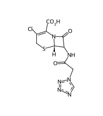 O=C(Cn1cnnn1)NC1C(=O)N2C(C(=O)O)=C(Cl)CS[C@@H]12